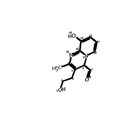 CC1=C(CCO)C(C=O)N2C=CC=C(O)C2=N1